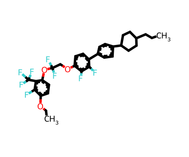 CCCC1CCC(c2ccc(-c3ccc(OCC(F)(F)Oc4ccc(OCC)c(F)c4C(F)(F)F)c(F)c3F)cc2)CC1